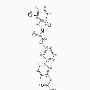 O=C(O)Cc1cccc(-c2cccc(CNC(=O)OCc3c(Cl)cccc3Cl)c2)c1